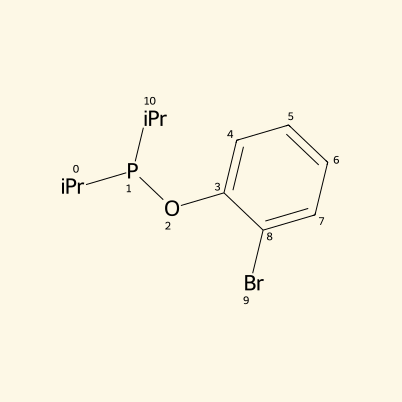 CC(C)P(Oc1ccccc1Br)C(C)C